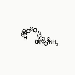 CS(=O)(=O)Nc1ccc(Oc2ccc(CN3CCC(N(C(=O)Nc4cccc(C(N)=O)c4)c4ccccc4)CC3)cc2)cc1